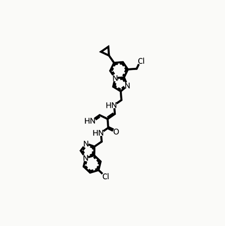 N=C/C(=C\NCc1cn2cc(C3CC3)cc(CCl)c2n1)C(=O)NCc1ncn2ccc(Cl)cc12